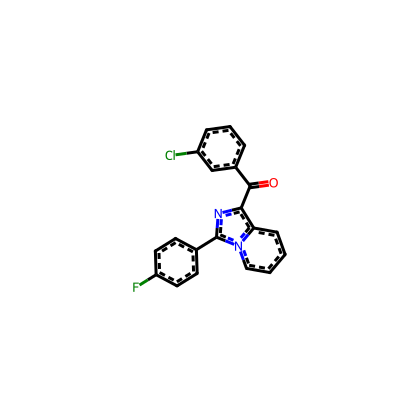 O=C(c1cccc(Cl)c1)c1nc(-c2ccc(F)cc2)n2ccccc12